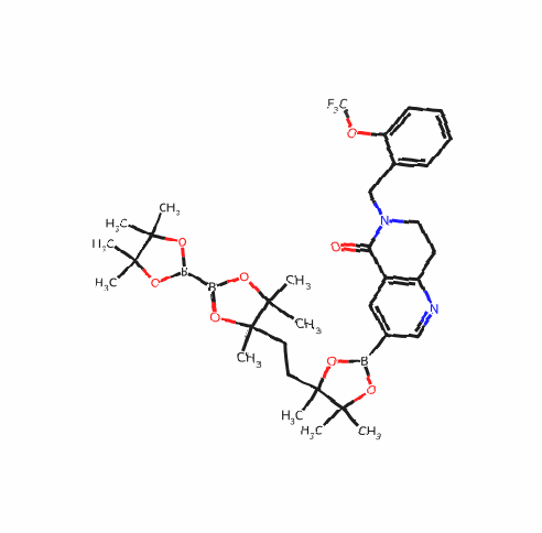 CC1(C)OB(B2OC(C)(C)C(C)(CCC3(C)OB(c4cnc5c(c4)C(=O)N(Cc4ccccc4OC(F)(F)F)CC5)OC3(C)C)O2)OC1(C)C